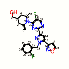 C=C1CC(CO)C[C@@H](C)N1c1nc(-c2cc(-c3ccon3)n(Cc3ccccc3F)n2)ncc1F